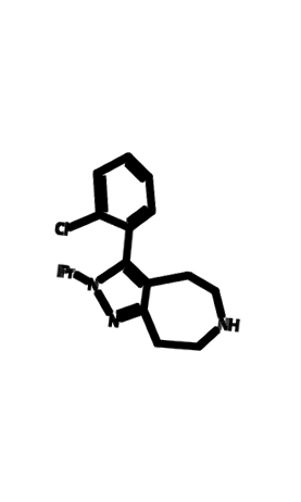 CC(C)n1nc2c(c1-c1ccccc1Cl)CCNCC2